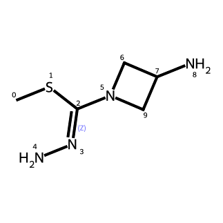 CS/C(=N\N)N1CC(N)C1